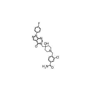 NC(=O)c1ccc(CN2CCC(O)(Cn3cnc4c(cnn4-c4ccc(F)cc4)c3=O)CC2)c(Cl)c1